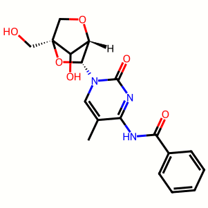 Cc1cn([C@@H]2O[C@@]3(CO)CO[C@H]2C3O)c(=O)nc1NC(=O)c1ccccc1